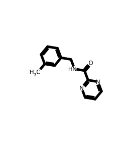 Cc1cccc(CNC(=O)c2ncccn2)c1